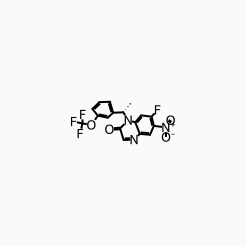 C[C@@H](c1cccc(OC(F)(F)F)c1)n1c(=O)cnc2cc([N+](=O)[O-])c(F)cc21